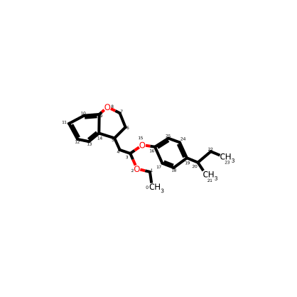 CCOC(CC1CCOc2ccccc21)Oc1ccc(C(C)CC)cc1